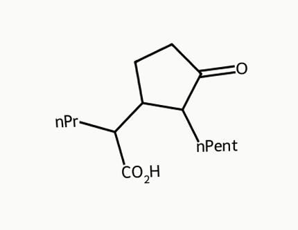 CCCCCC1C(=O)CCC1C(CCC)C(=O)O